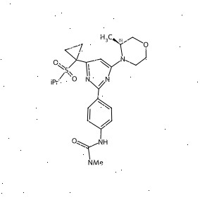 CNC(=O)Nc1ccc(-c2nc(N3CCOC[C@@H]3C)cc(C3(S(=O)(=O)C(C)C)CC3)n2)cc1